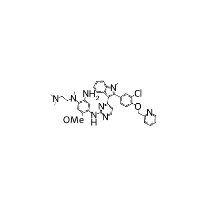 COc1cc(N(C)CCN(C)C)c(N)cc1Nc1nccc(-c2c(-c3ccc(OCc4ccccn4)c(Cl)c3)n(C)c3ccccc23)n1